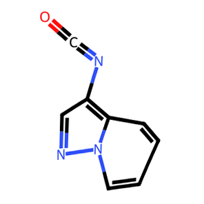 O=C=Nc1cnn2ccccc12